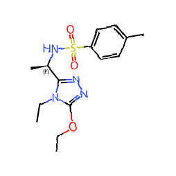 CCOc1nnc([C@@H](C)NS(=O)(=O)c2ccc(C)cc2)n1CC